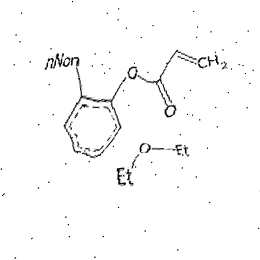 C=CC(=O)Oc1ccccc1CCCCCCCCC.CCOCC